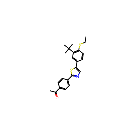 CCSc1ccc(-c2cnc(-c3ccc(C(C)=O)cc3)s2)cc1C(C)(C)C